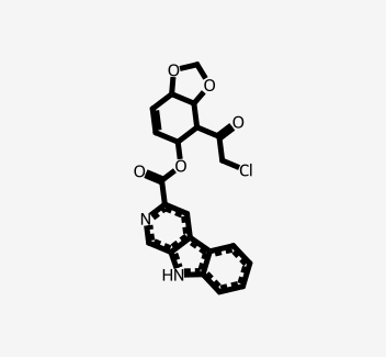 O=C(OC1C=CC2OCOC2C1C(=O)CCl)c1cc2c(cn1)[nH]c1ccccc12